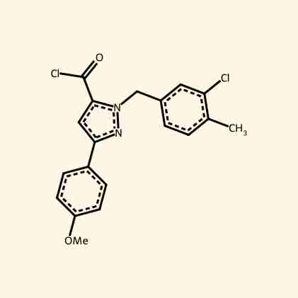 COc1ccc(-c2cc(C(=O)Cl)n(Cc3ccc(C)c(Cl)c3)n2)cc1